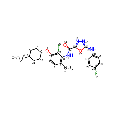 CCOC(=O)[C@H]1CC[C@H](Oc2ccc([N+](=O)[O-])c(NC(=O)c3nnc(Nc4ccc(F)cc4)o3)c2F)CC1